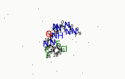 C[C@H](c1cnc(N2CCC2)cn1)n1cc(NC(=O)c2cncc(-c3c(C(F)F)ccc(Cl)c3F)n2)cn1